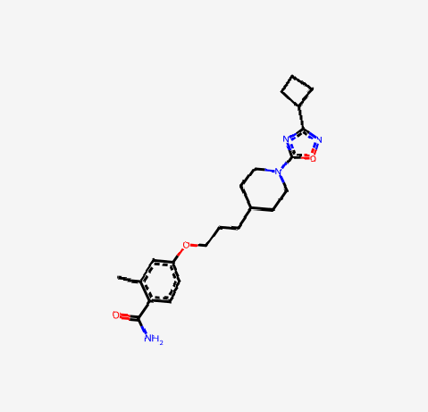 Cc1cc(OCCCC2CCN(c3nc(C4CCC4)no3)CC2)ccc1C(N)=O